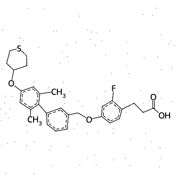 Cc1cc(OC2CCSCC2)cc(C)c1-c1cccc(COc2ccc(CCC(=O)O)c(F)c2)c1